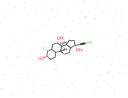 C[C@]12CC[C@@H](O)[C@@H](F)C1C[C@H](O)[C@@H]1[C@@H]2CC[C@@]2(C)[C@H]1CC[C@@]2(O)C#CCl